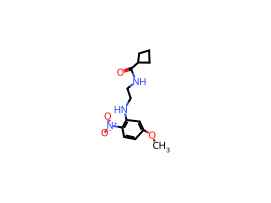 COc1ccc([N+](=O)[O-])c(NCCNC(=O)C2CCC2)c1